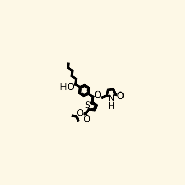 CCCCCC(O)c1ccc([C@H](OCC2CCC(=O)N2)c2ccc(C(=O)OC(C)C)s2)cc1